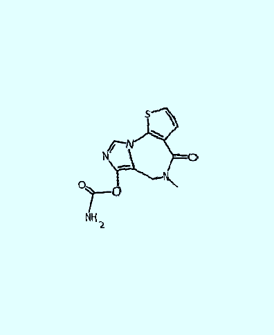 CN1Cc2c(OC(N)=O)ncn2-c2sccc2C1=O